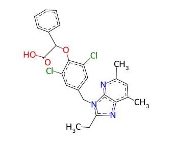 CCc1nc2c(C)cc(C)nc2n1Cc1cc(Cl)c(OC(C(=O)O)c2ccccc2)c(Cl)c1